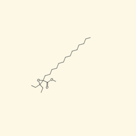 CCCCCCCCCCCCCCC1(C(=O)OC)OC1(CC)CC